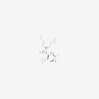 CCCC[C@@H](CCSC)Nc1nc(C)ncc1OC